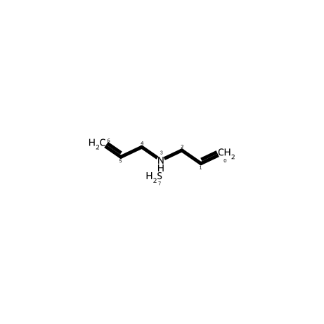 C=CCNCC=C.S